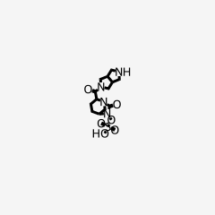 O=C(C1CCC2CN1C(=O)N2OS(=O)(=O)O)N1CC2CNCC2C1